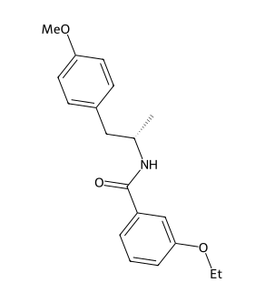 CCOc1cccc(C(=O)N[C@@H](C)Cc2ccc(OC)cc2)c1